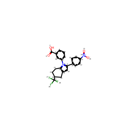 O=C(O)c1cccc(-n2c(-c3ccc([N+](=O)[O-])cc3)cc3c2CCC(C(F)(F)F)C3)c1